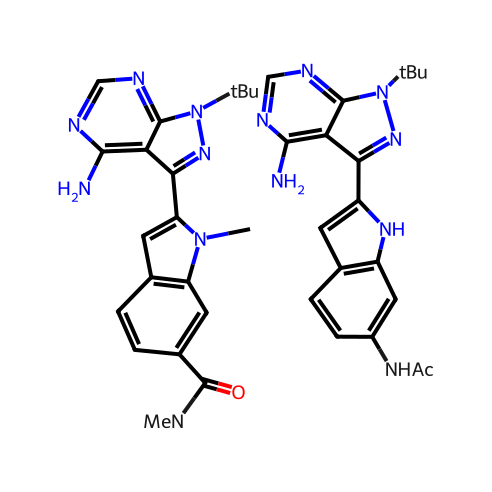 CC(=O)Nc1ccc2cc(-c3nn(C(C)(C)C)c4ncnc(N)c34)[nH]c2c1.CNC(=O)c1ccc2cc(-c3nn(C(C)(C)C)c4ncnc(N)c34)n(C)c2c1